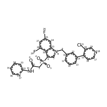 O=C(CS(=O)(=O)c1cn(Cc2cccc(-c3ccncc3Cl)c2)c2cc(F)cc(F)c12)Nc1ccccn1